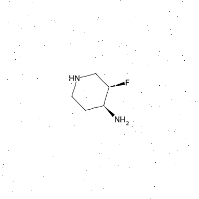 N[C@H]1CCNC[C@H]1F